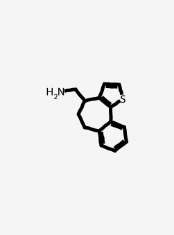 NCC1CCc2ccccc2-c2sccc21